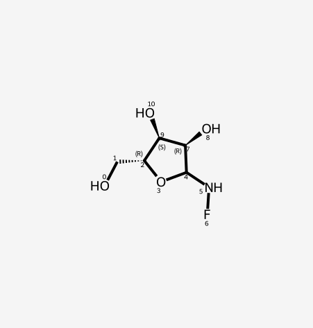 OC[C@H]1OC(NF)[C@H](O)[C@@H]1O